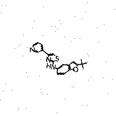 CC(C)(C)c1cc2cc(Nc3nc(-c4cccnc4)cs3)ccc2o1